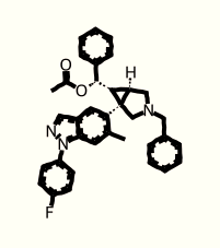 CC(=O)O[C@H](c1ccccc1)[C@@H]1[C@H]2CN(Cc3ccccc3)C[C@@]12c1cc2cnn(-c3ccc(F)cc3)c2cc1C